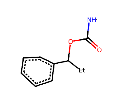 CCC(OC([NH])=O)c1ccccc1